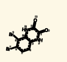 O=c1[nH]c2ccc(Br)c(Br)c2[nH]c1=O